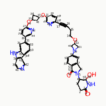 O=C1CCC(N2Cc3cc(N4CC(OCCC#Cc5ccc(O[C@H]6C[C@H](Oc7ccc(-c8ccc9c(c8)[nH]c8ccncc89)cn7)C6)cn5)C4)ccc3C2=O)C(O)N1